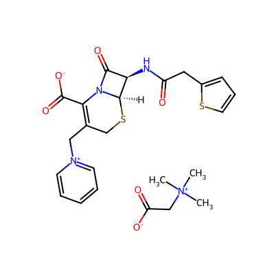 C[N+](C)(C)CC(=O)[O-].O=C(Cc1cccs1)N[C@@H]1C(=O)N2C(C(=O)[O-])=C(C[n+]3ccccc3)CS[C@H]12